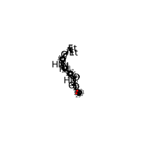 CCN(CC)CCOc1ccc(Nc2ncc(-c3ccc(C(=O)NCC(=O)OCC4CCC5CC4C5(C)C)cc3)cn2)cc1